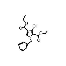 CCOC(=O)c1cn(Cc2ccccc2)c(C(=O)OCC)c1O